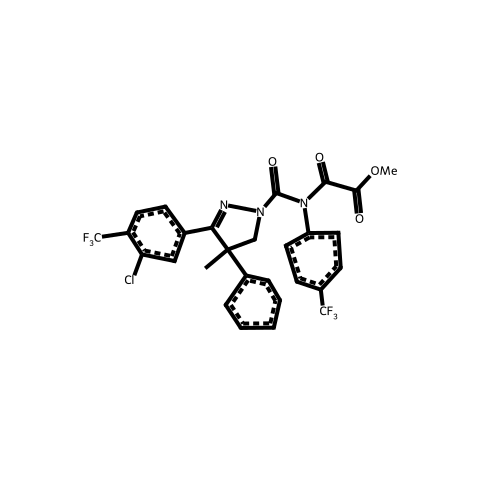 COC(=O)C(=O)N(C(=O)N1CC(C)(c2ccccc2)C(c2ccc(C(F)(F)F)c(Cl)c2)=N1)c1ccc(C(F)(F)F)cc1